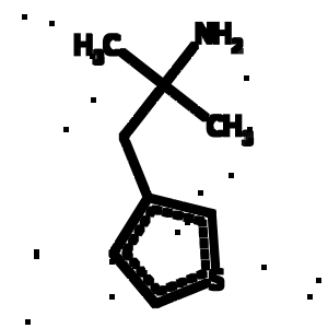 CC(C)(N)Cc1ccsc1